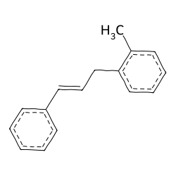 Cc1ccccc1CC=Cc1ccccc1